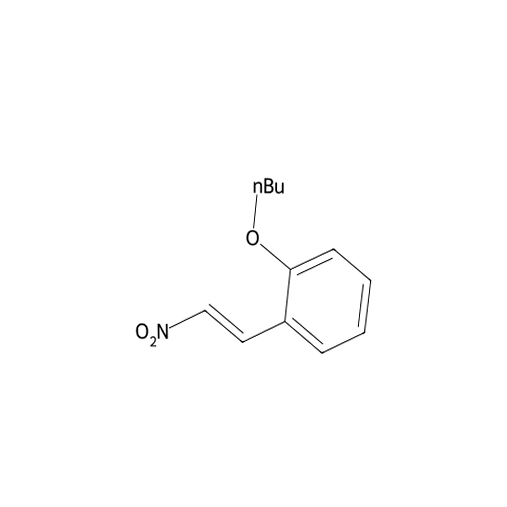 CCCCOc1ccccc1/C=C/[N+](=O)[O-]